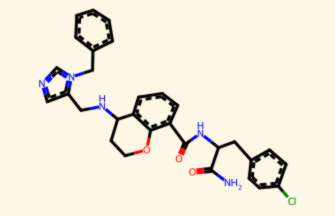 NC(=O)C(Cc1ccc(Cl)cc1)NC(=O)c1cccc2c1OCCC2NCc1cncn1Cc1ccccc1